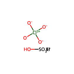 O=S(=O)(O)O.[K+].[O-][Cl+3]([O-])([O-])[O-]